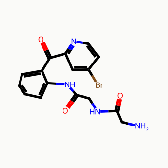 NCC(=O)NCC(=O)Nc1ccccc1C(=O)c1cc(Br)ccn1